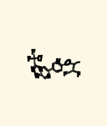 CC(Oc1ccc(-c2cn3c(C(F)(F)Cl)nnc3cn2)cn1)C(F)F